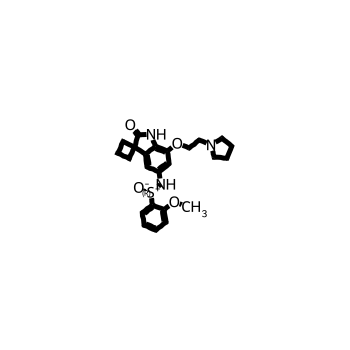 COc1ccccc1[S@+]([O-])Nc1cc(OCCN2CCCC2)c2c(c1)C1(CCC1)C(=O)N2